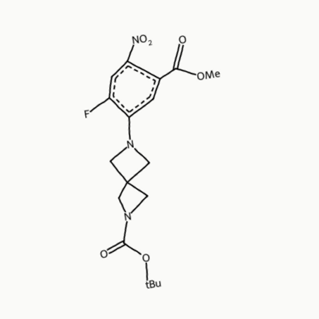 COC(=O)c1cc(N2CC3(CN(C(=O)OC(C)(C)C)C3)C2)c(F)cc1[N+](=O)[O-]